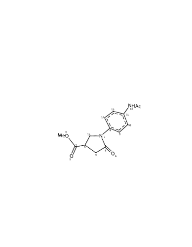 COC(=O)C1CC(=O)N(c2ccc(NC(C)=O)cc2)C1